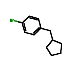 Brc1ccc(CC2CCCC2)cc1